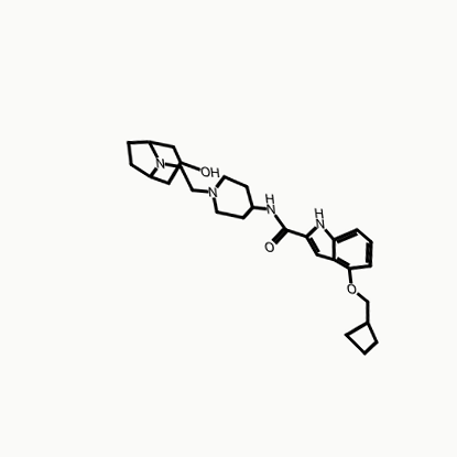 O=C(NC1CCN(CCN2C3CCC2CC(O)C3)CC1)c1cc2c(OCC3CCC3)cccc2[nH]1